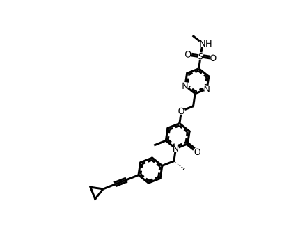 CNS(=O)(=O)c1cnc(COc2cc(C)n([C@H](C)c3ccc(C#CC4CC4)cc3)c(=O)c2)nc1